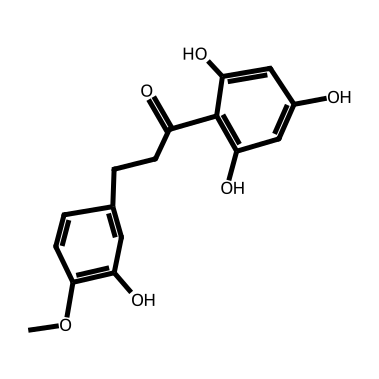 COc1ccc(CCC(=O)c2c(O)cc(O)cc2O)cc1O